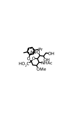 COC1CC(Oc2cc(C(C)C)ccc2C)(C(=O)O)OC(C(OC)C(O)CO)C1NC(C)=O